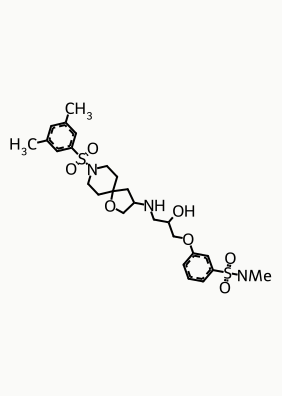 CNS(=O)(=O)c1cccc(OCC(O)CNC2COC3(CCN(S(=O)(=O)c4cc(C)cc(C)c4)CC3)C2)c1